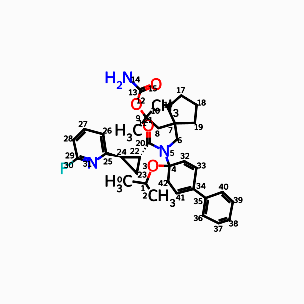 CC(C)OC1(N(CC2(CC(C)(C)OC(N)=O)CCCC2)C(=O)[C@@H]2C[C@H]2c2cccc(F)n2)C=CC(c2ccccc2)=CC1